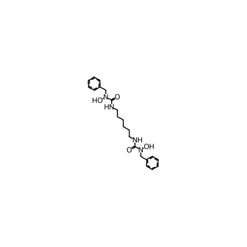 O=C(NCCCCCCNC(=O)N(O)Cc1ccccc1)N(O)Cc1ccccc1